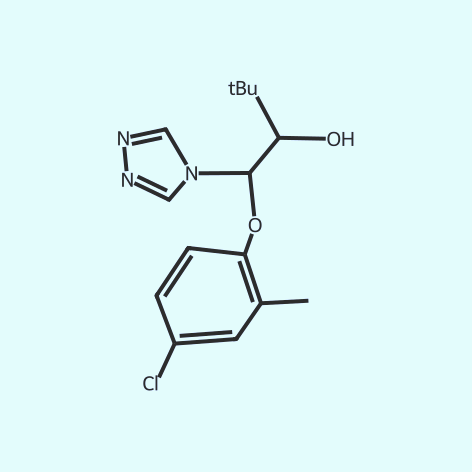 Cc1cc(Cl)ccc1OC(C(O)C(C)(C)C)n1cnnc1